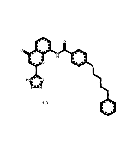 O.O=C(Nc1cccc2c(=O)cc(-c3nnn[nH]3)oc12)c1ccc(OCCCCc2ccccc2)cc1